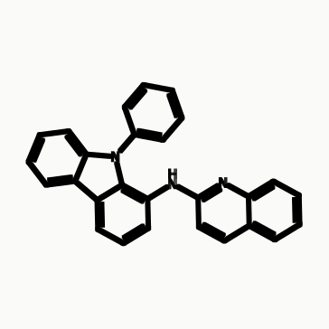 c1ccc(-n2c3ccccc3c3cccc(Nc4ccc5ccccc5n4)c32)cc1